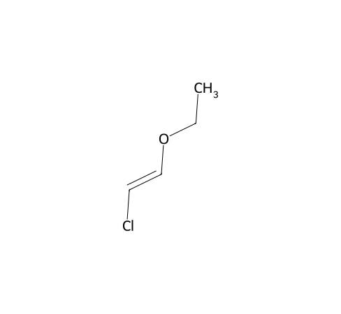 CCOC=CCl